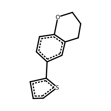 c1csc(-c2ccc3c(c2)CCCO3)c1